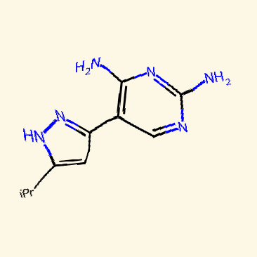 CC(C)c1cc(-c2cnc(N)nc2N)n[nH]1